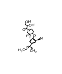 C=C/C(=N\CC)c1ccc(OC2CCN(C(=O)[C@@H](O)CO)CC2(F)F)c(C#N)c1